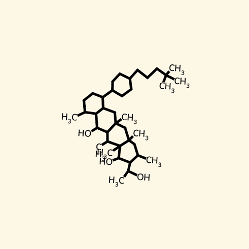 CC(O)C1C(C)CC2(C)CC3(C)CC4C(C5CCC(CCCC(C)(C)C)CC5)CCC(C)C4C(O)C3C(C)C2(C)C1O